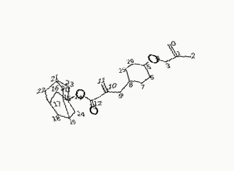 C=C(C)COC1CCC(CC(=C)C(=O)OC23CC4CC(CC(C4)C2)C3)CC1